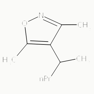 CCCC(C)c1c(C)noc1C